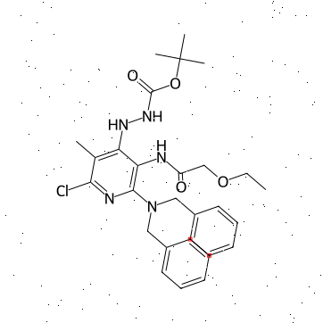 CCOCC(=O)Nc1c(N(Cc2ccccc2)Cc2ccccc2)nc(Cl)c(C)c1NNC(=O)OC(C)(C)C